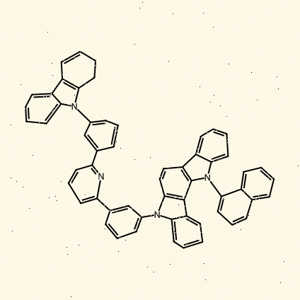 C1=Cc2c(n(-c3cccc(-c4cccc(-c5cccc(-n6c7ccccc7c7c6ccc6c8ccccc8n(-c8cccc9ccccc89)c67)c5)n4)c3)c3ccccc23)CC1